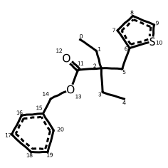 CCC(CC)(Cc1cccs1)C(=O)OCc1ccccc1